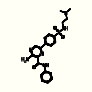 CN(C)CCNS(=O)(=O)c1ccc(-c2cnc(N)c(C(=O)Nc3ccccc3)n2)cc1